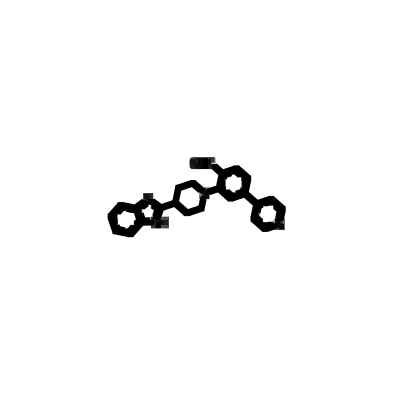 O=Cc1ccc(-c2ccncc2)cc1N1CCC(c2nc3ccccc3[nH]2)CC1